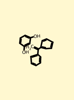 C=C(c1ccccc1)c1ccccc1.Oc1cccc(O)c1